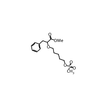 COC(=O)C(Cc1ccccc1)OCCCCCOS(C)(=O)=O